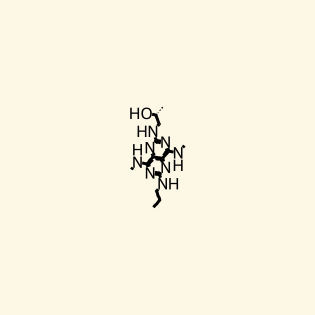 CCCNc1nc(NC)c2nc(NC[C@@H](C)O)nc(NC)c2n1